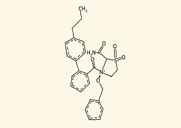 CCCc1ccc(-c2ccccc2C(=O)[N@@+]2(OCc3ccccc3)CCS(=O)(=O)C2C(N)=O)cc1